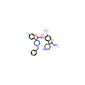 Cl.NC(=O)C1(c2ccc(F)cc2)CCNCC1.O=C([NH2+][O-])C1(c2ccc(F)cc2)CCN(Cc2ccccc2)CC1